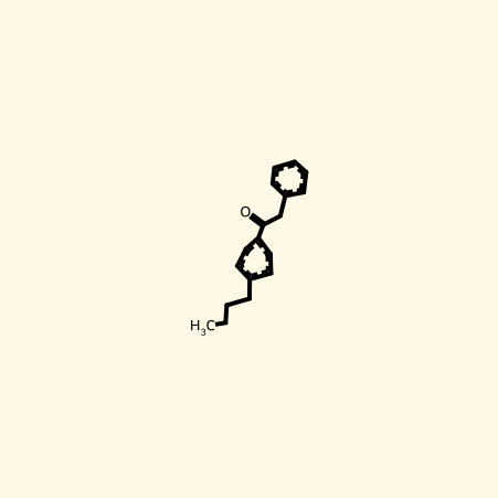 CCCCc1ccc(C(=O)Cc2ccccc2)cc1